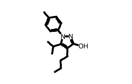 CCCCc1c(O)nn(-c2ccc(C)cc2)c1C(C)C